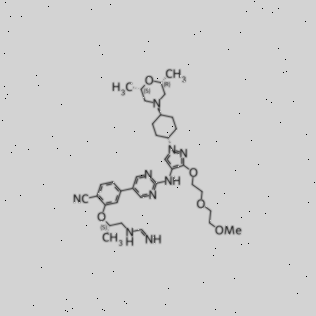 COCCOCCOc1nn([C@H]2CC[C@H](N3C[C@@H](C)O[C@@H](C)C3)CC2)cc1Nc1ncc(-c2ccc(C#N)c(O[C@@H](C)CNC=N)c2)cn1